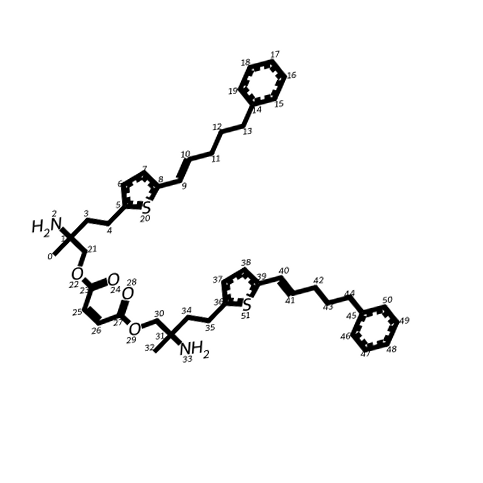 CC(N)(CCc1ccc(C=CCCCc2ccccc2)s1)COC(=O)/C=C\C(=O)OCC(C)(N)CCc1ccc(C=CCCCc2ccccc2)s1